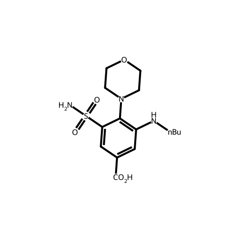 CCCCNc1cc(C(=O)O)cc(S(N)(=O)=O)c1N1CCOCC1